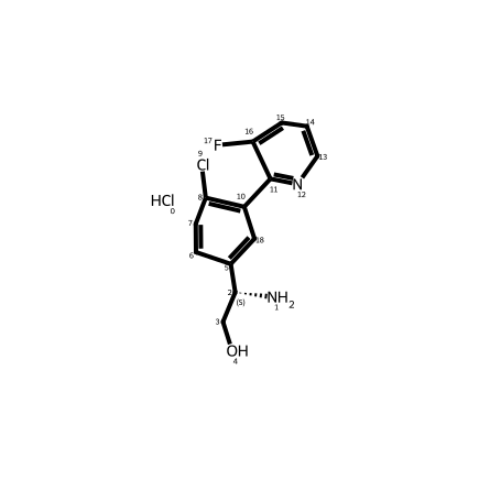 Cl.N[C@H](CO)c1ccc(Cl)c(-c2ncccc2F)c1